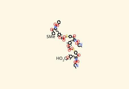 CSc1ccc(C(=O)[C@@H]2CN(C(=O)Oc3ccccc3)C[C@H]2CCc2cc(C)c(OC(C)(C)C(=O)OCSc3ccc(C(=O)[C@H]4CN(C(=O)Oc5ccc(C)nc5)C[C@@H]4Cc4cc(C)c(OC(C)(C)C(=O)OCSc5ccc(C(=O)[C@@H]6CN(C(=O)Oc7ccc(C)nc7)C[C@H]6Cc6cc(C)c(OC(C)(C)C(=O)O)c(C)c6)cc5)c(C)c4)cc3)c(C)c2)cc1